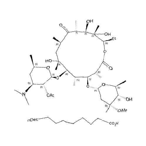 CCCCCCCCCCCCCCCCCC(=O)O.CC[C@H]1OC(=O)[C@H](C)[C@@H](O[C@H]2C[C@@](C)(OC)[C@@H](O)[C@H](C)O2)[C@H](C)[C@@H](O[C@@H]2O[C@H](C)C[C@H](N(C)C)[C@H]2OC(C)=O)[C@](C)(O)C[C@@H](C)C(=O)[C@H](C)[C@@H](O)[C@]1(C)O